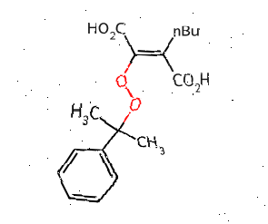 CCCCC(C(=O)O)=C(OOC(C)(C)c1ccccc1)C(=O)O